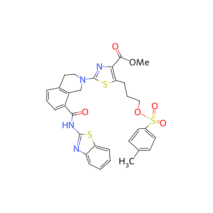 COC(=O)c1nc(N2CCc3cccc(C(=O)Nc4nc5ccccc5s4)c3C2)sc1CCCOS(=O)(=O)c1ccc(C)cc1